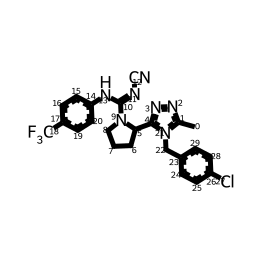 Cc1nnc(C2CCCN2C(=NC#N)Nc2ccc(C(F)(F)F)cc2)n1Cc1ccc(Cl)cc1